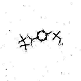 CC(C)(CO)Oc1ccc(B2OC(C)(C)C(C)(C)O2)cc1